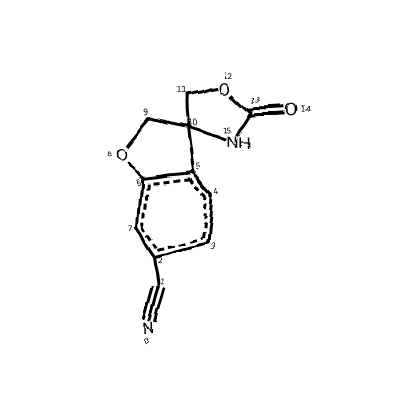 N#Cc1ccc2c(c1)OCC21COC(=O)N1